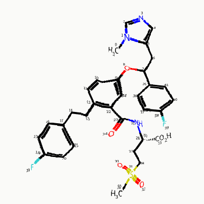 Cn1cncc1CC(Oc1ccc(CCc2ccc(F)cc2)c(C(=O)N[C@@H](CCS(C)(=O)=O)C(=O)O)c1)c1ccc(F)cc1